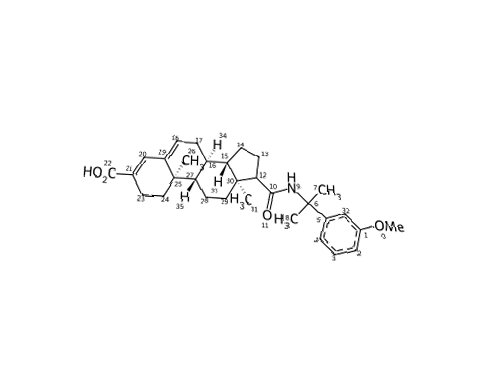 COc1cccc(C(C)(C)NC(=O)C2CC[C@H]3[C@@H]4CC=C5C=C(C(=O)O)CC[C@]5(C)[C@H]4CC[C@]23C)c1